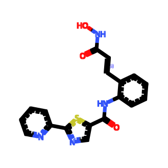 O=C(/C=C/c1ccccc1NC(=O)c1cnc(-c2ccccn2)s1)NO